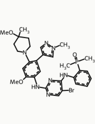 COc1cc(N2CCC(C)(OC)CC2)c(-c2cnn(C)c2)cc1Nc1ncc(Br)c(Nc2ccccc2P(C)(C)=O)n1